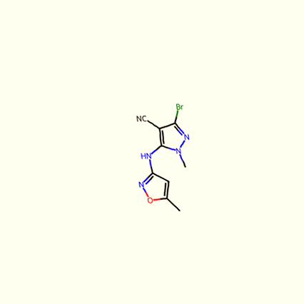 Cc1cc(Nc2c(C#N)c(Br)nn2C)no1